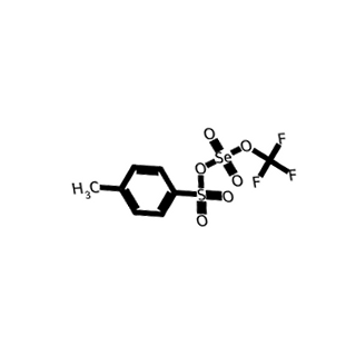 Cc1ccc(S(=O)(=O)O[Se](=O)(=O)OC(F)(F)F)cc1